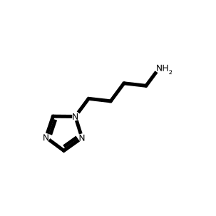 NCCCCn1cncn1